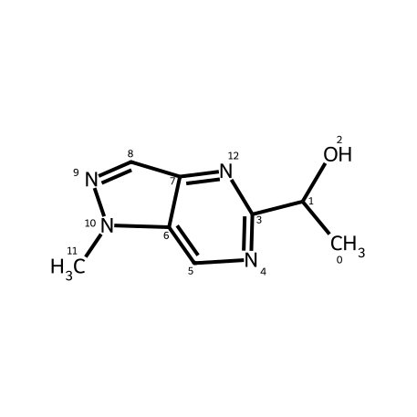 CC(O)c1ncc2c(cnn2C)n1